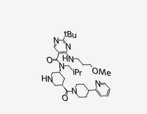 COCCCNc1nc(C(C)(C)C)ncc1C(=O)N(CC(C)C)[C@@H]1CNC[C@H](C(=O)N2CCC(c3ccccn3)CC2)C1